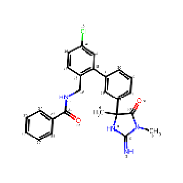 CN1C(=N)NC(C)(c2cccc(-c3cc(Cl)ccc3CNC(=O)c3ccccc3)c2)C1=O